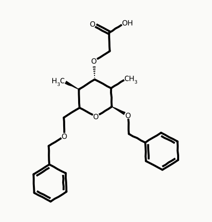 CC1[C@@H](OCc2ccccc2)OC(COCc2ccccc2)[C@@H](C)[C@@H]1OCC(=O)O